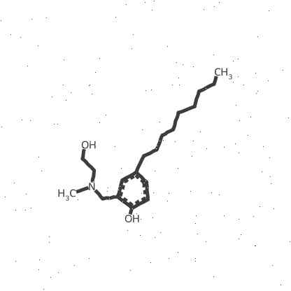 CCCCCCCCCc1ccc(O)c(CN(C)CCO)c1